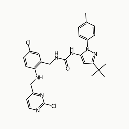 Cc1ccc(-n2nc(C(C)(C)C)cc2NC(=O)NCc2cc(Cl)ccc2NCc2ccnc(Cl)n2)cc1